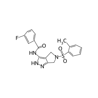 Cc1ccccc1S(=O)(=O)N1Cc2n[nH]c(NC(=O)c3cccc(F)c3)c2C1